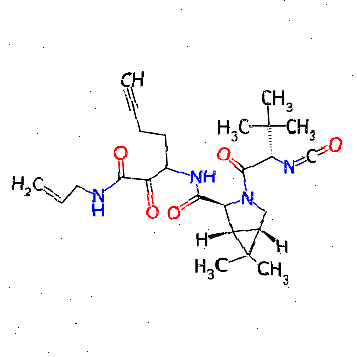 C#CCCC(NC(=O)[C@@H]1[C@@H]2[C@H](CN1C(=O)[C@@H](N=C=O)C(C)(C)C)C2(C)C)C(=O)C(=O)NCC=C